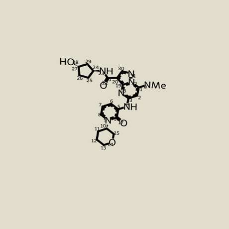 CNc1cc(Nc2cccn([C@H]3CCCOC3)c2=O)nc2c(C(=O)N[C@H]3CC[C@H](O)C3)cnn12